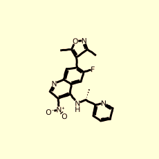 Cc1noc(C)c1-c1cc2ncc([N+](=O)[O-])c(N[C@H](C)c3ccccn3)c2cc1F